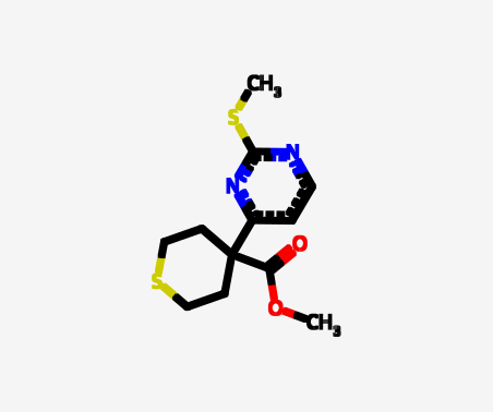 COC(=O)C1(c2ccnc(SC)n2)CCSCC1